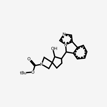 CC(C)(C)OC(=O)N1CC2(CCC(C3c4ccccc4-c4cncn43)C2O)C1